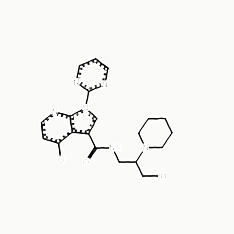 CC(C)CC(CNC(=O)c1cn(-c2ncccn2)c2nccc(Cl)c12)N1CCCCC1